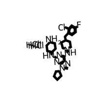 Cl.Cl.Cl.NC1CCC(Nc2nc(NN3CCC(Cc4ccc(F)cc4Cl)CC3)c3ncn(C4CCCC4)c3n2)CC1